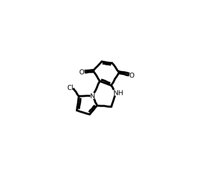 O=C1C=CC(=O)C2=C1NCc1ccc(Cl)n12